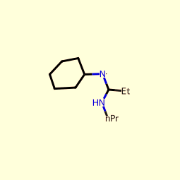 CCCNC(CC)[N]C1CCCCC1